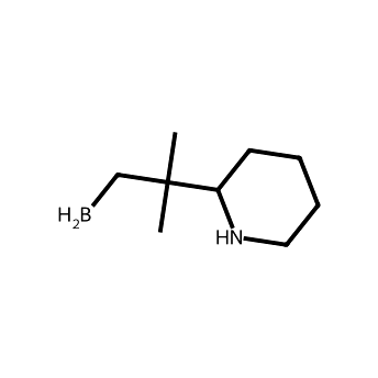 BCC(C)(C)C1CCCCN1